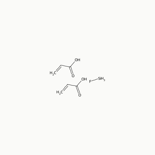 C=CC(=O)O.C=CC(=O)O.F[SiH3]